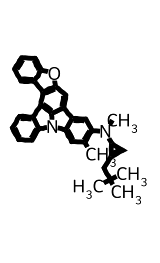 Cc1cc2c(cc1N(C)C1C=C1CC(C)(C)C)c1cc3oc4ccccc4c3c3c4ccccc4n2c13